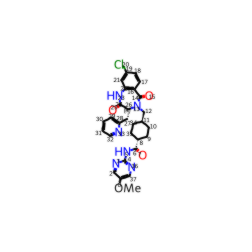 COc1cnc(NC(=O)[C@H]2CC[C@H](CN3C(=O)c4ccc(Cl)cc4NC(=O)[C@H]3Cc3ccccn3)CC2)nc1